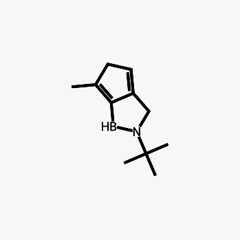 CC1=C2BN(C(C)(C)C)CC2=CC1